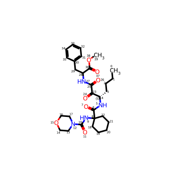 CCCC[C@H](NC(=O)C1(NC(=O)N2CCOCC2)CCCCC1)C(=O)C(=O)NC(Cc1ccccc1)C(=O)OC